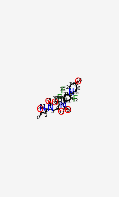 Cc1cc(N(CC2CN(c3cc(F)c(N4C=CC(=O)CC4)c(F)c3F)C(=O)O2)C(=O)OC(C)(C)C)no1